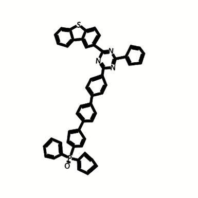 O=P(c1ccccc1)(c1ccccc1)c1ccc(-c2ccc(-c3ccc(-c4nc(-c5ccccc5)nc(-c5ccc6sc7ccccc7c6c5)n4)cc3)cc2)cc1